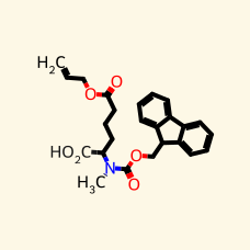 C=CCOC(=O)CCCC(C(=O)O)N(C)C(=O)OCC1c2ccccc2-c2ccccc21